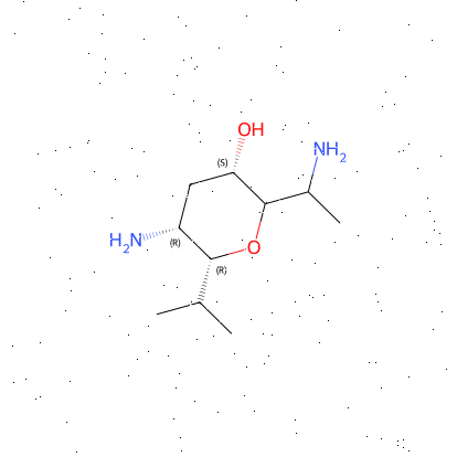 CC(N)C1O[C@H](C(C)C)[C@H](N)C[C@@H]1O